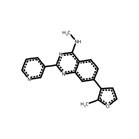 CNc1nc(-c2cccnc2)nc2cc(-c3ccoc3C)ccc12